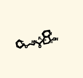 O=C(NCCOc1ccccc1)[C@]1(F)CC[C@H](O)c2ncccc21